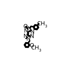 COc1ccccc1Cn1cnc2c3nc(=O)n(Cc4cccc(C)c4)c-3ncnc21